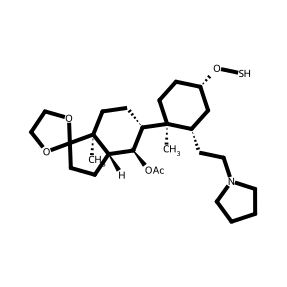 CC(=O)O[C@@H]1[C@@H]([C@@]2(C)CC[C@H](OS)C[C@@H]2CCN2CCCC2)CC[C@@]2(C)[C@H]1CCC21OCCO1